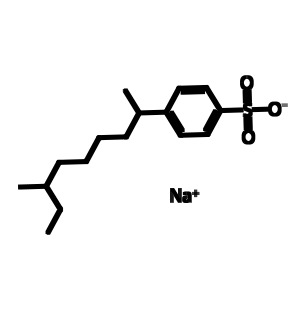 CCC(C)CCCCC(C)c1ccc(S(=O)(=O)[O-])cc1.[Na+]